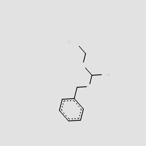 COCOC(O)OCc1ccccc1